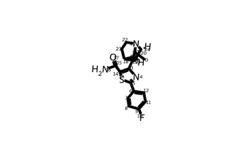 C[C@H]1[C@H](c2nc(-c3ccc(F)cc3)sc2C(N)=O)C2CCN1CC2